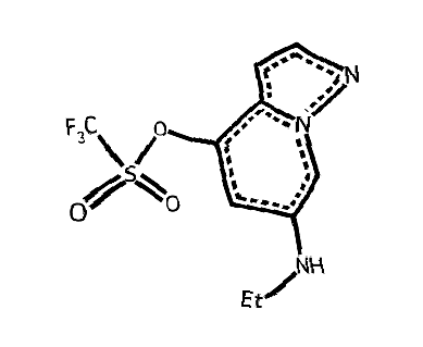 CCNc1cc(OS(=O)(=O)C(F)(F)F)c2ccnn2c1